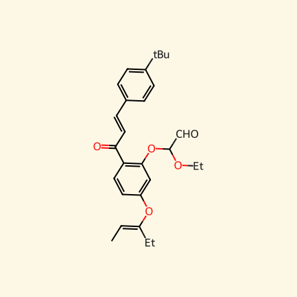 CC=C(CC)Oc1ccc(C(=O)C=Cc2ccc(C(C)(C)C)cc2)c(OC(C=O)OCC)c1